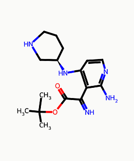 CC(C)(C)OC(=O)C(=N)c1c(N[C@@H]2CCCNC2)ccnc1N